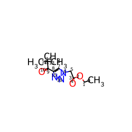 CCOC(=O)Cn1cc(C(=O)C(C)(C)C)nn1